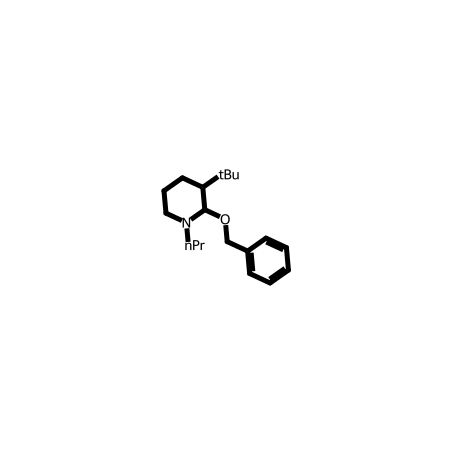 CCCN1CCCC(C(C)(C)C)C1OCc1ccccc1